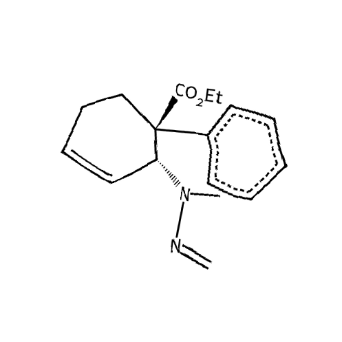 C=NN(C)[C@@H]1C=CCC[C@]1(C(=O)OCC)c1ccccc1